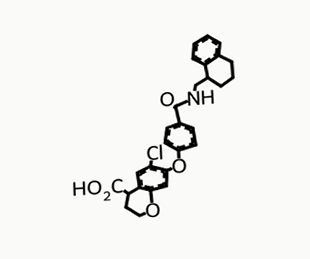 O=C(NCC1CCCc2ccccc21)c1ccc(Oc2cc3c(cc2Cl)C(C(=O)O)CCO3)cc1